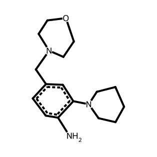 Nc1ccc(CN2CCOCC2)cc1N1CCCCC1